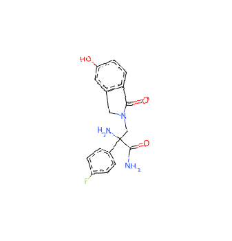 NC(=O)C(N)(CN1Cc2cc(O)ccc2C1=O)c1ccc(F)cc1